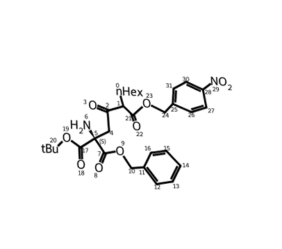 CCCCCCC(C(=O)C[C@](N)(C(=O)OCc1ccccc1)C(=O)OC(C)(C)C)C(=O)OCc1ccc([N+](=O)[O-])cc1